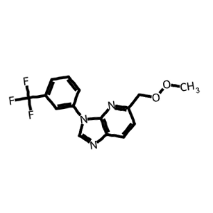 COOCc1ccc2ncn(-c3cccc(C(F)(F)F)c3)c2n1